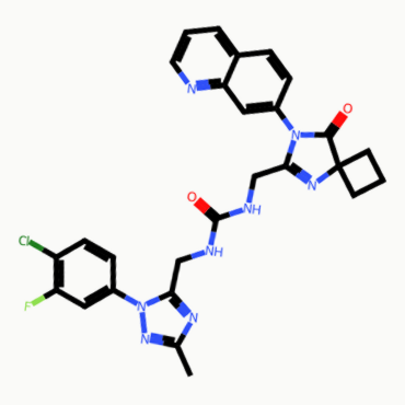 Cc1nc(CNC(=O)NCC2=NC3(CCC3)C(=O)N2c2ccc3cccnc3c2)n(-c2ccc(Cl)c(F)c2)n1